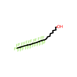 OCCCCCCCCC(F)(F)C(F)(F)C(F)(F)C(F)(F)C(F)(F)C(F)(F)C(F)(F)C(F)(F)C(F)(F)C(F)(F)C(F)(F)C(F)(F)F